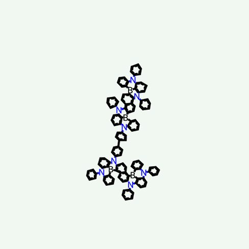 c1ccc(N2c3ccccc3B3c4c2cccc4N(c2ccccc2)c2ccc4c5c(ccc4c23)N(c2ccc(-c3ccc(N4c6ccccc6B6c7ccc8c9c(ccc8c7N(c7ccccc7)c7cccc4c76)B4c6ccccc6N(c6ccccc6)c6cccc(c64)N9c4ccccc4)cc3)cc2)c2cccc3c2B5c2ccccc2N3c2ccccc2)cc1